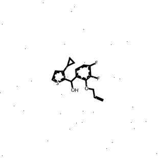 C=CCOc1c(C(O)c2sccc2C2CC2)ccc(F)c1F